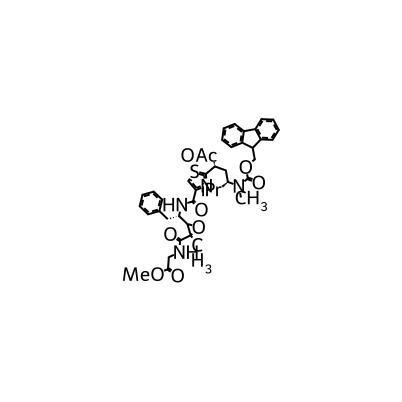 COC(=O)CNC(=O)C1(C)OC1[C@H](Cc1ccccc1)NC(=O)c1csc([C@@H](C[C@H](C(C)C)N(C)C(=O)OCC2c3ccccc3-c3ccccc32)OC(C)=O)n1